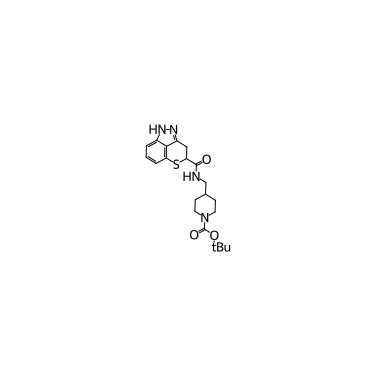 CC(C)(C)OC(=O)N1CCC(CNC(=O)C2Cc3n[nH]c4cccc(c34)S2)CC1